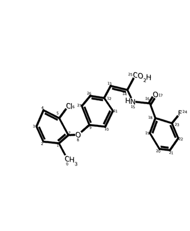 Cc1cccc(Cl)c1Oc1ccc(/C=C(\NC(=O)c2ccccc2F)C(=O)O)cc1